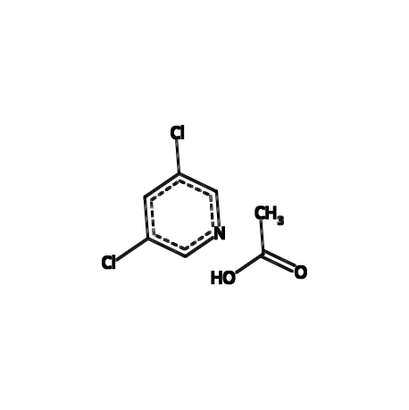 CC(=O)O.Clc1cncc(Cl)c1